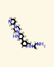 C=C(CN)NCc1cccc(C2CC=C(N3CCN(c4cccnc4)CC3)NC2)c1